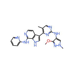 COc1nn(C)cc1Nc1ncc(C)c(-c2c[nH]c3c(Nc4ccccn4)nccc23)n1